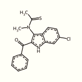 CC(=S)N(C)c1c(C(=O)c2ccccc2)[nH]c2cc(Cl)ccc12